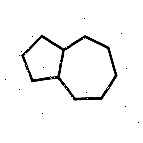 [CH]1CC2CCCCCC2C1